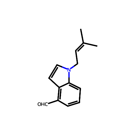 CC(C)=CCn1ccc2c(C=O)cccc21